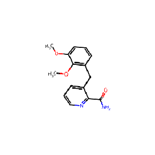 COc1cccc(Cc2cccnc2C(N)=O)c1OC